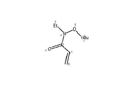 C=CC(=O)N(CC)OCCCC